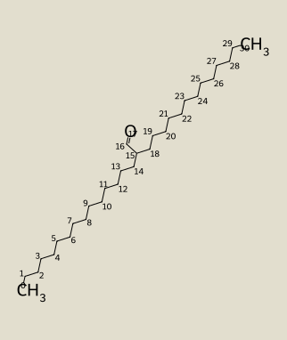 CCCCCCCCCCCCCCCC(C=O)CCCCCCCCCCCCC